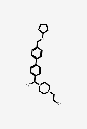 CC(c1ccc(-c2ccc(COC3CCCC3)cc2)cc1)N1CCN(CCO)CC1